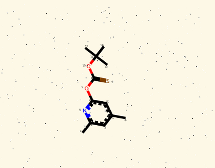 Cc1cc(C)nc(OC(=S)OC(C)(C)C)c1